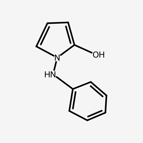 Oc1cccn1Nc1ccccc1